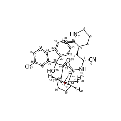 N#C[C@@H](C[C@@H]1CCCNC1=O)NC(=O)[C@H]1[C@@H]2CC[C@@H](CC2(F)F)N1C(=O)C1(O)c2ccccc2-c2ccc(Cl)cc21